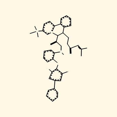 C=C(C=C(C)C)CCC1c2ccccc2-c2ccc([Si](C)(C)C)c[n+]2C1C(=C)CN(C)c1ccccc1Nc1c(C(C)C)cc(-c2ccccc2)cc1C(C)C